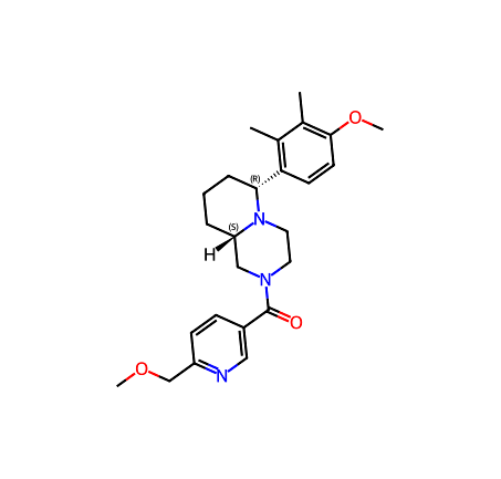 COCc1ccc(C(=O)N2CCN3[C@@H](CCC[C@@H]3c3ccc(OC)c(C)c3C)C2)cn1